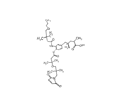 CCCOCC(C)(C)CC(=O)Nc1cc(C[C@H](N)CC(C)C(=O)O)ccc1OC(=O)CC(C)(C)OCC(C)(C)CN1C(=O)C=CC1=O